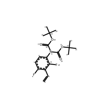 C=Cc1c(F)ccc(N(C(=O)OC(C)(C)C)C(=O)OC(C)(C)C)c1F